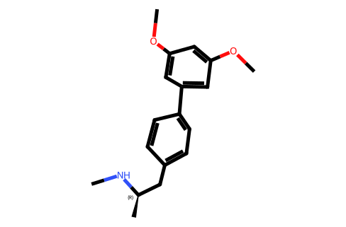 CN[C@H](C)Cc1ccc(-c2cc(OC)cc(OC)c2)cc1